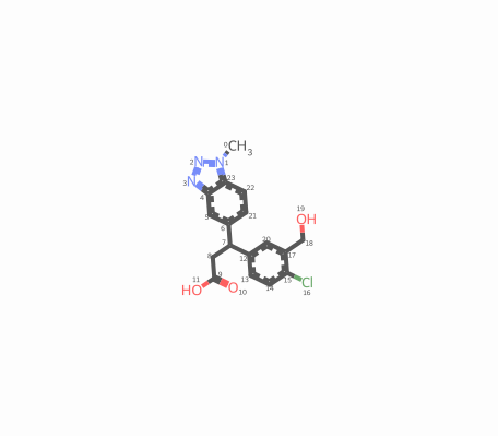 Cn1nnc2cc(C(CC(=O)O)c3ccc(Cl)c(CO)c3)ccc21